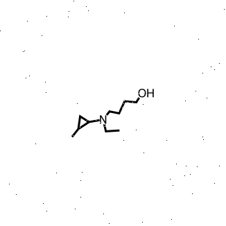 CCN(CCCCO)C1CC1C